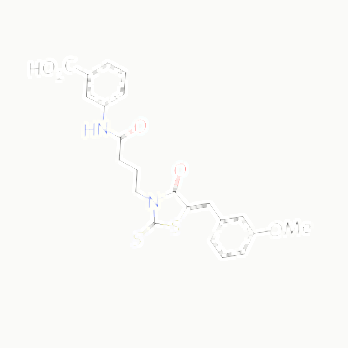 COc1cccc(/C=C2\SC(=S)N(CCCC(=O)Nc3cccc(C(=O)O)c3)C2=O)c1